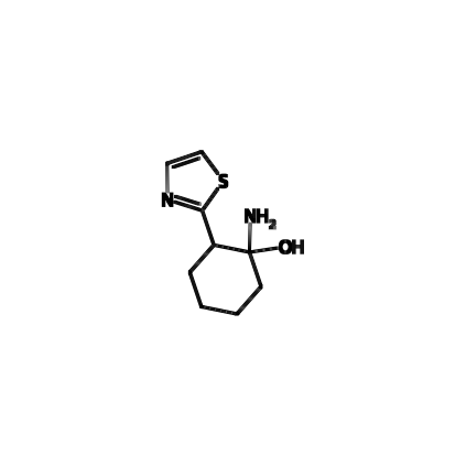 NC1(O)CCCCC1c1nccs1